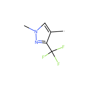 [CH2]c1cn(C)nc1C(F)(F)F